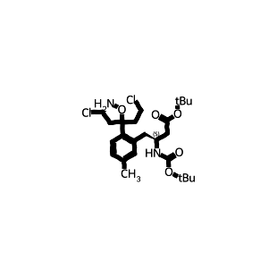 Cc1ccc(C(CCCl)(CCCl)ON)c(C[C@@H](CC(=O)OC(C)(C)C)NC(=O)OC(C)(C)C)c1